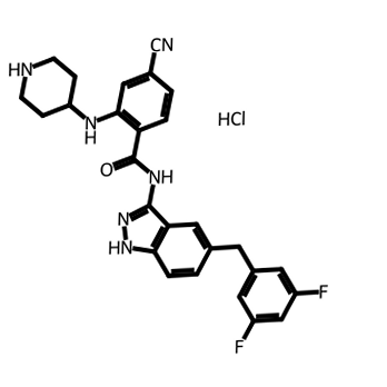 Cl.N#Cc1ccc(C(=O)Nc2n[nH]c3ccc(Cc4cc(F)cc(F)c4)cc23)c(NC2CCNCC2)c1